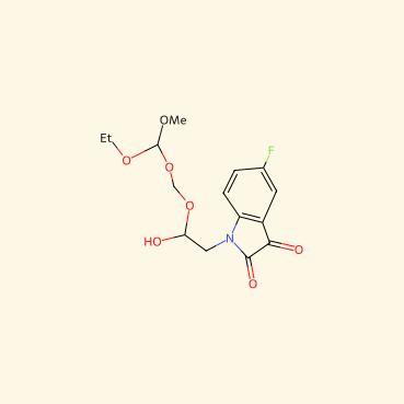 CCOC(OC)OCOC(O)CN1C(=O)C(=O)c2cc(F)ccc21